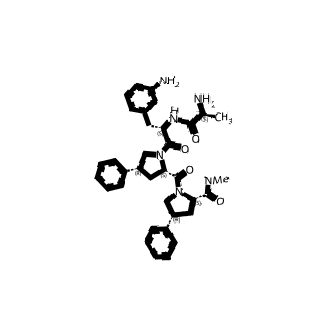 CNC(=O)[C@@H]1C[C@H](c2ccccc2)CN1C(=O)[C@@H]1C[C@H](c2ccccc2)CN1C(=O)[C@H](Cc1cccc(N)c1)NC(=O)[C@H](C)N